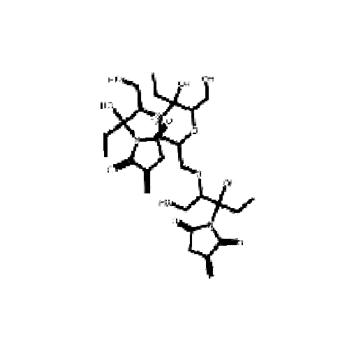 C=C1CC(=O)N(C(O)(CC)C(CO)OCC(COC(CO)C(O)(CC)N2C(=O)CC(=C)C2=O)OC(CO)C(N)(O)CC)C1=O